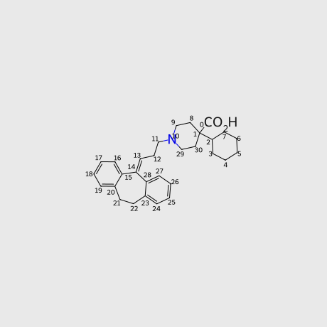 O=C(O)C1(C2CCCCC2)CCN(CCC=C2c3ccccc3CCc3ccccc32)CC1